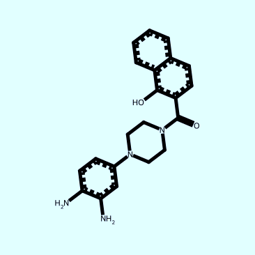 Nc1ccc(N2CCN(C(=O)c3ccc4ccccc4c3O)CC2)cc1N